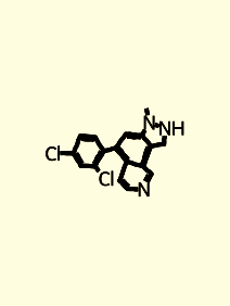 CN1NCc2c1cc(-c1ccc(Cl)cc1Cl)c1ccncc21